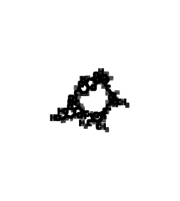 C=C1C2C[C@@H]3OC(CC(O)CO)[C@H](OC)C3CC(=O)CC3CCC4OC5C6O[C@@H]7CC(CCC8CC(=C)[C@H](CC[C@@H](C[C@H]1C)O2)O8)(OC6[C@H]4O3)OC57